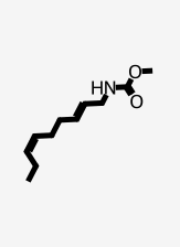 CC/C=C\CC/C=C/CNC(=O)OC